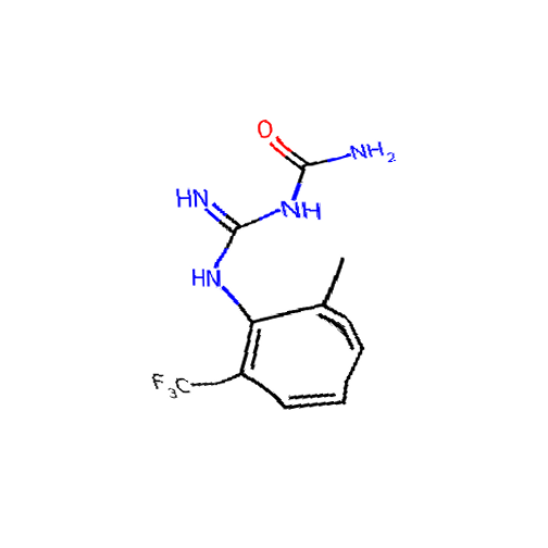 Cc1cccc(C(F)(F)F)c1NC(=N)NC(N)=O